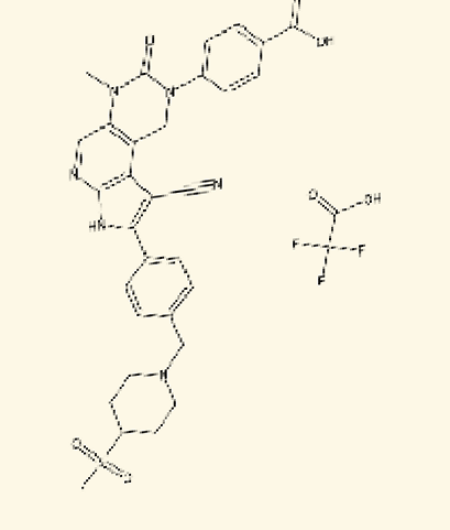 CN1C(=O)N(c2ccc(C(=O)O)cc2)Cc2c1cnc1[nH]c(-c3ccc(CN4CCC(S(C)(=O)=O)CC4)cc3)c(C#N)c21.O=C(O)C(F)(F)F